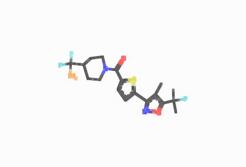 Cc1c(-c2ccc(C(=O)N3CCC(C(F)(F)P)CC3)s2)noc1C(C)(C)F